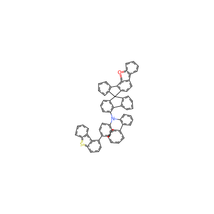 c1ccc(-c2ccccc2N(c2ccc(-c3cccc4sc5ccccc5c34)cc2)c2cccc3c2-c2ccccc2C32c3ccccc3-c3c2ccc2c3oc3ccccc32)cc1